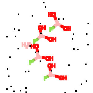 B.OB(O)F.OB(O)F.OB(O)F.OB(O)F